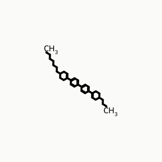 CCCCCCCCC1CC=C(c2ccc(-c3ccc(C4=CCC(CCCC)CC4)cc3)cc2)CC1